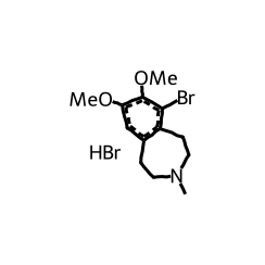 Br.COc1cc2c(c(Br)c1OC)CCN(C)CC2